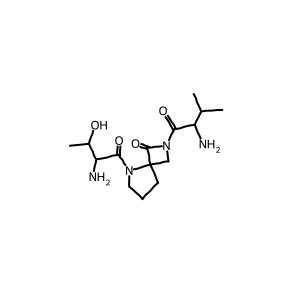 CC(C)C(N)C(=O)N1CC2(CCCN2C(=O)C(N)C(C)O)C1=O